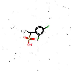 CC(c1ccc(F)cc1F)S(=O)(=O)O